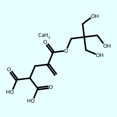 C=C(CC(C(=O)O)C(=O)O)C(=O)OCC(CO)(CO)CO.[CaH2]